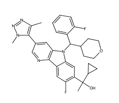 Cc1nnn(C)c1-c1cnc2c3cc(F)c(C(C)(O)C4CC4)cc3n(C(c3ccccc3F)C3CCOCC3)c2c1